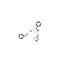 O=C(NC[C@H](C(=O)NCC1CC(Br)=NO1)c1ccc(O)cc1)OCCc1ccccc1